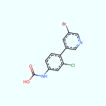 O=C(O)Nc1ccc(-c2cncc(Br)c2)c(Cl)c1